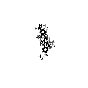 CSc1ccc(-c2nnc(C(C)(C)Oc3ccc(C(N)=O)cc3Br)n2C)c(C(F)(F)F)c1